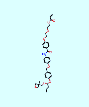 C=CC(=O)OCCOCCOc1ccc(C(=O)Nc2ccc(OCc3ccc(OC(CCC)OCC4(C)COC4)cc3)cc2)cc1